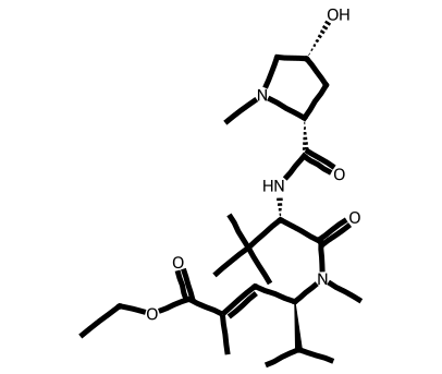 CCOC(=O)/C(C)=C/[C@H](C(C)C)N(C)C(=O)[C@@H](NC(=O)[C@H]1C[C@@H](O)CN1C)C(C)(C)C